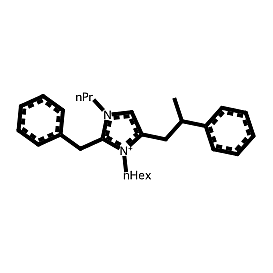 CCCCCC[n+]1c(CC(C)c2ccccc2)cn(CCC)c1Cc1ccccc1